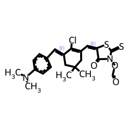 CN(C)c1ccc(/C=C2\CC(C)(C)CC(/C=C3/SC(=S)N(OC=O)C3=O)=C2Cl)cc1